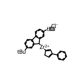 CC(C)(C)c1ccc2c(c1)[CH]([Zr+2][C]1=CC(c3ccccc3)=CC1)c1cc(C(C)(C)C)ccc1-2.[Cl-].[Cl-]